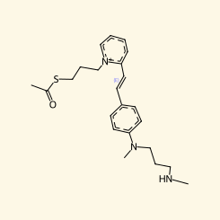 CNCCCN(C)c1ccc(/C=C/c2cccc[n+]2CCCSC(C)=O)cc1